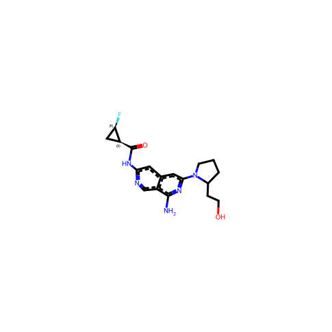 Nc1nc(N2CCCC2CCO)cc2cc(NC(=O)[C@H]3C[C@H]3F)ncc12